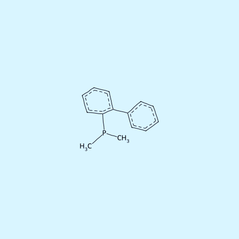 CP(C)c1ccccc1-c1ccccc1